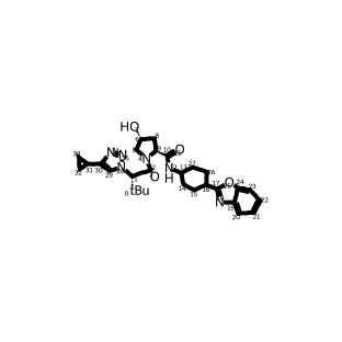 CC(C)(C)[C@@H](C(=O)N1C[C@H](O)C[C@H]1C(=O)NC1CCC(c2nc3ccccc3o2)CC1)n1cc(C2CC2)nn1